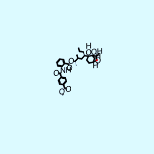 CCC[C@H](CC(C)[C@H](C)OC(=O)c1ccccc1NC(=O)c1ccc(C(=O)OC)cc1)[C@@]1(O)CC[C@H]2CC(C)[C@]1(O)[C@H]2OC